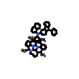 CC(C)c1cccc2c1N1C3=C4N(c5c(C(C)C)cccc5C(C)/[N+]4=C/C=C/CC3C2C)C1c1ccc(N(c2ccc3c(c2)-c2ccccc2C3c2ccccc2)c2cccc3ccccc23)cc1